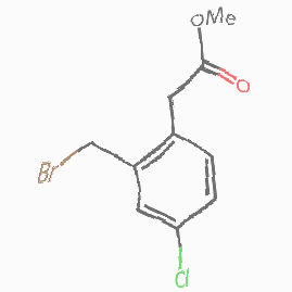 COC(=O)Cc1ccc(Cl)cc1CBr